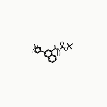 CC(NC(=O)OC(C)(C)C)c1cc(-c2cnn(C)c2)cc2ccccc12